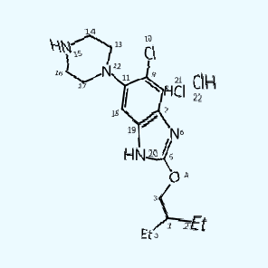 CCC(CC)COc1nc2cc(Cl)c(N3CCNCC3)cc2[nH]1.Cl.Cl